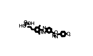 COc1ccc(-c2nnc(-c3ccc4nc(-c5c(C)cc(CCCP(=O)(O)O)cc5C)[nH]c4c3)o2)cc1